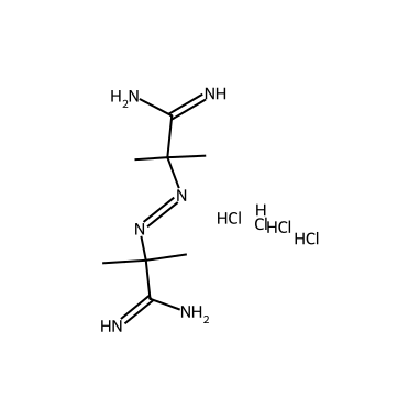 CC(C)(N=NC(C)(C)C(=N)N)C(=N)N.Cl.Cl.Cl.Cl